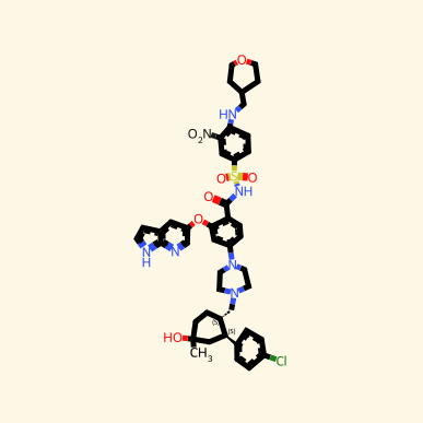 CC1(O)CC[C@H](CN2CCN(c3ccc(C(=O)NS(=O)(=O)c4ccc(NCC5CCOCC5)c([N+](=O)[O-])c4)c(Oc4cnc5[nH]ccc5c4)c3)CC2)[C@@H](c2ccc(Cl)cc2)C1